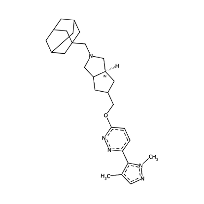 Cc1cnn(C)c1-c1ccc(OCC2CC3CN(CC45CC6CC(CC(C6)C4)C5)C[C@H]3C2)nn1